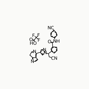 N#CCC(c1cccc(C(=O)Nc2ccc(C#N)cc2)c1)n1cc(C2=C3C=CN=C3CC=N2)cn1.O=C(O)C(F)(F)F